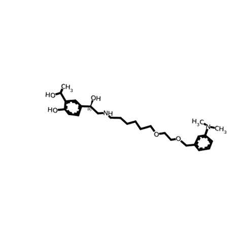 CC(O)c1cc([C@@H](O)CNCCCCCCOCCOCc2cccc(N(C)C)c2)ccc1O